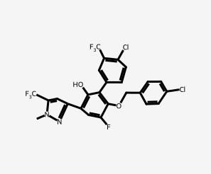 Cn1nc(-c2cc(F)c(OCc3ccc(Cl)cc3)c(-c3ccc(Cl)c(C(F)(F)F)c3)c2O)cc1C(F)(F)F